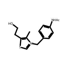 CC(=O)Nc1ccc(C[n+]2csc(CCO)c2C)cc1